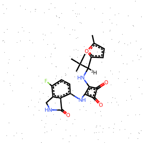 [2H]C(Nc1c(Nc2ccc(F)c3c2C(=O)NC3)c(=O)c1=O)(c1ccc(C)o1)C(C)(C)C